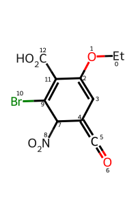 CCOC1=CC(=C=O)C([N+](=O)[O-])C(Br)=C1C(=O)O